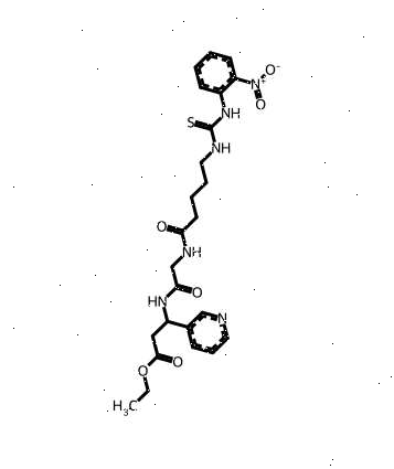 CCOC(=O)CC(NC(=O)CNC(=O)CCCCNC(=S)Nc1ccccc1[N+](=O)[O-])c1cccnc1